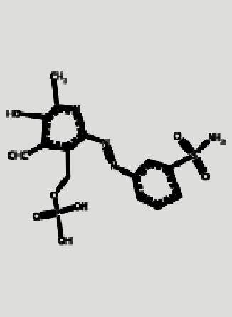 Cc1nc(N=Nc2cccc(S(N)(=O)=O)c2)c(COP(=O)(O)O)c(C=O)c1O